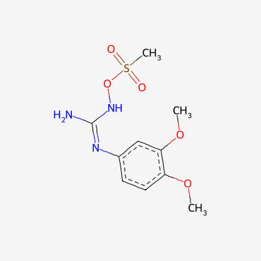 COc1ccc(N=C(N)NOS(C)(=O)=O)cc1OC